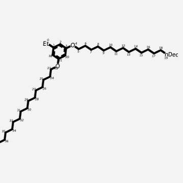 [CH2]Cc1cc(OCCCCCCCCCCCCCCCCCCCCCCCC)cc(OCCCCCCCCCCCCCCCCCCCCCCCC)c1